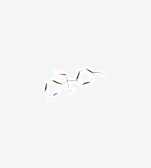 CCc1ccc(C(Br)(C=O)c2cccnc2)cc1